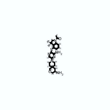 CC(=O)N1CC(F)(F)c2c(Sc3ncc(N4CCC5(CC4)COC[C@@H](N)C5)nc3N)cccc21